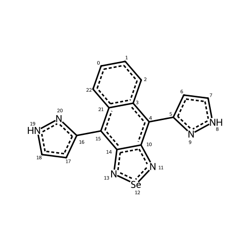 c1ccc2c(-c3cc[nH]n3)c3n[se]nc3c(-c3cc[nH]n3)c2c1